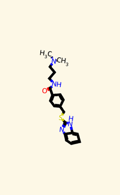 CN(C)CCCNC(=O)c1ccc(CSc2nc3ccccc3[nH]2)cc1